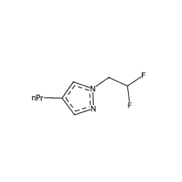 CCCc1cnn(CC(F)F)c1